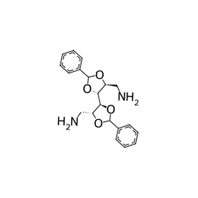 NC[C@@H]1OC(c2ccccc2)O[C@H]1[C@H]1OC(c2ccccc2)O[C@@H]1CN